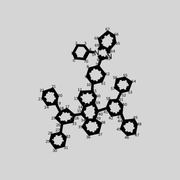 C1=CCCC(n2c(-c3ccc(-c4ccc5c(-c6cc(-c7ccccc7)cc(-c7ccccc7)c6)c6ccccc6c(-c6cc(-c7ccccc7)cc(-c7ccccc7)c6)c5c4)cc3)nc3ccccc32)=C1